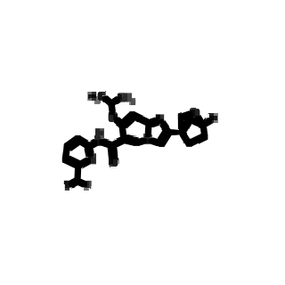 CC(C)Oc1cc2nc([C@]34CC[C@H](C3)OC4)cn2cc1C(=O)Nc1cccc(C(F)F)n1